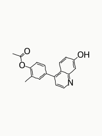 CC(=O)Oc1ccc(-c2ccnc3cc(O)ccc23)cc1C